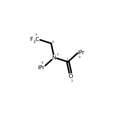 CC(C)C(=O)N(CC(F)(F)F)C(C)C